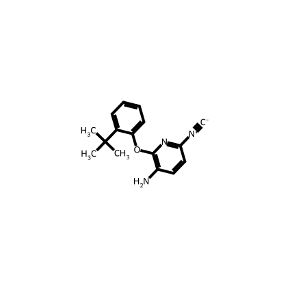 [C-]#[N+]c1ccc(N)c(Oc2ccccc2C(C)(C)C)n1